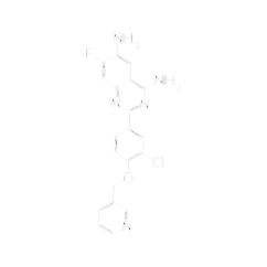 Nc1cc2c(N)nc(-c3ccc(OCc4cccnc4)c(Cl)c3)nc2cc1F